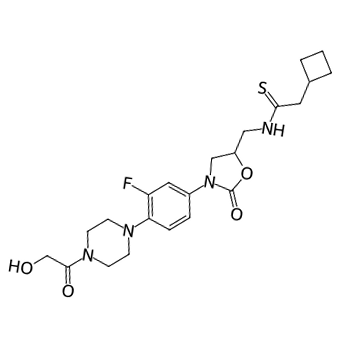 O=C(CO)N1CCN(c2ccc(N3CC(CNC(=S)CC4CCC4)OC3=O)cc2F)CC1